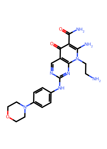 NCCn1c(N)c(C(N)=O)c(=O)c2cnc(Nc3ccc(N4CCOCC4)cc3)nc21